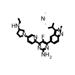 CCNC1CCN(c2ccc(-c3nc(N)nc(-c4ccc5nn(C)c(C(C)C)c5c4)c3F)nc2)C1.[N]